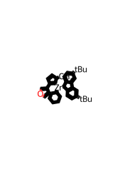 CC1C=CC(c2ccoc2)=[C]1[Zr](=[C]1CCCCC1)[CH]1c2ccc(C(C)(C)C)cc2-c2cc(C(C)(C)C)ccc21